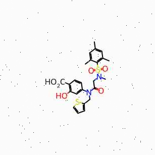 Cc1cc(C)c(S(=O)(=O)N(C)CC(=O)N(Cc2cccs2)c2ccc(C(=O)O)c(O)c2)c(C)c1